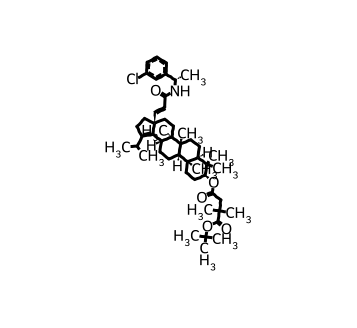 CC(C)C1=C2[C@H]3CC[C@@H]4[C@@]5(C)CC[C@H](OC(=O)CC(C)(C)C(=O)OC(C)(C)C)C(C)(C)[C@@H]5CC[C@@]4(C)[C@]3(C)CC[C@@]2(C=CC(=O)N[C@@H](C)c2cccc(Cl)c2)CC1